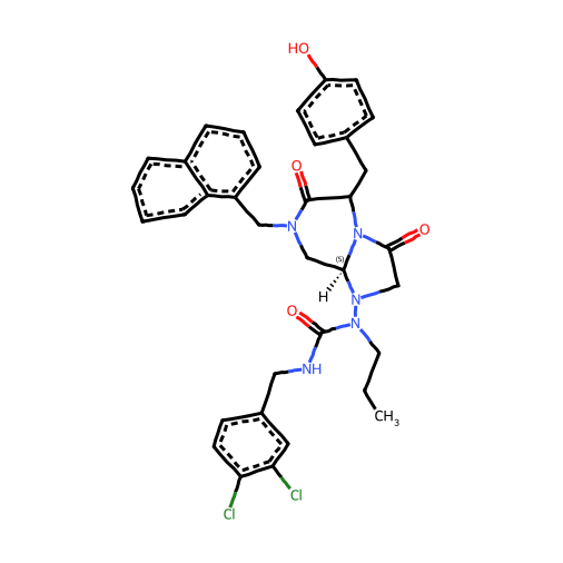 CCCN(C(=O)NCc1ccc(Cl)c(Cl)c1)N1CC(=O)N2C(Cc3ccc(O)cc3)C(=O)N(Cc3cccc4ccccc34)C[C@@H]21